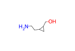 NCCC1CC1CO